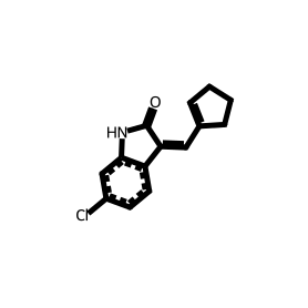 O=C1Nc2cc(Cl)ccc2C1=CC1=CCCC1